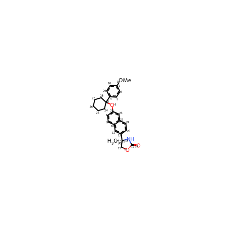 COc1ccc(C2(Oc3ccc4cc([C@]5(C)COC(=O)N5)ccc4c3)CCCCC2)cc1